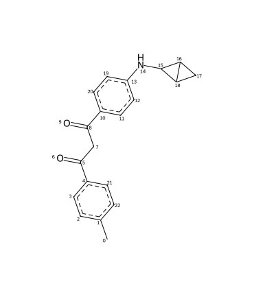 Cc1ccc(C(=O)CC(=O)c2ccc(NC3C4CC43)cc2)cc1